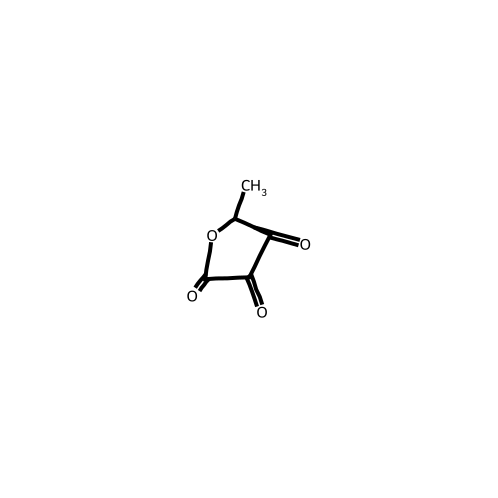 CC1OC(=O)C(=O)C1=O